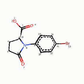 O=C(O)[C@@H]1CCC(=O)N1c1ccc(Br)cc1